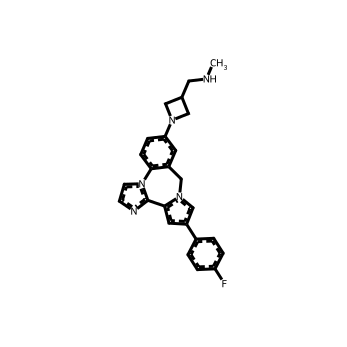 CNCC1CN(c2ccc3c(c2)Cn2cc(-c4ccc(F)cc4)cc2-c2nccn2-3)C1